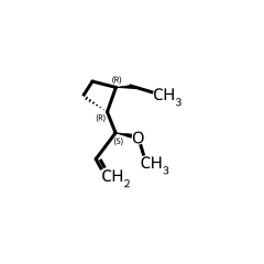 C=C[C@H](OC)[C@@H]1CC[C@H]1CC